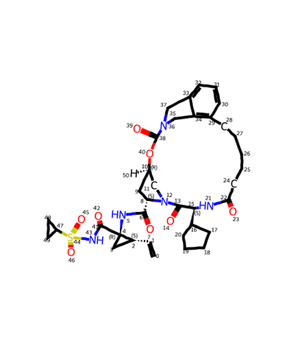 C=C[C@@H]1C[C@]1(NC(=O)[C@@H]1C[C@@H]2CN1C(=O)[C@H](C1CCCC1)NC(=O)CCCCCc1cccc3c1CN(C3)C(=O)O2)C(=O)NS(=O)(=O)C1CC1